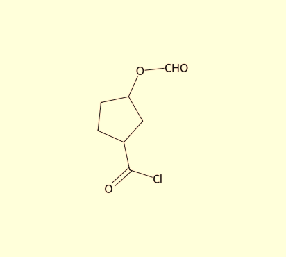 O=COC1CCC(C(=O)Cl)C1